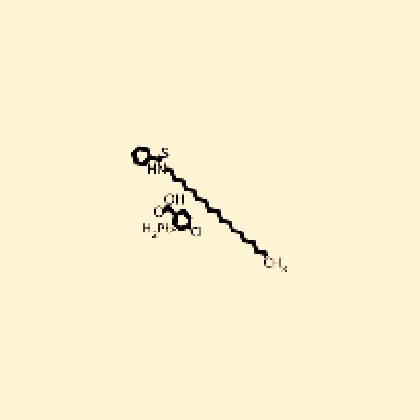 CCCCCCCCCCCCCCCCCCNC(=S)c1ccccc1.O=C(O)c1ccc(Cl)cc1.[PbH2]